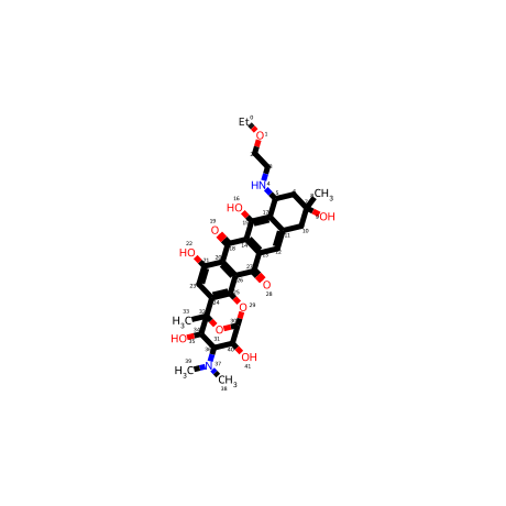 CCOCCNC1CC(C)(O)Cc2cc3c(c(O)c21)C(=O)c1c(O)cc2c(c1C3=O)OC1OC2(C)C(O)C(N(C)C)C1O